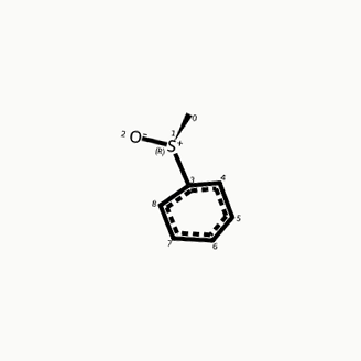 C[S@+]([O-])c1c[c]ccc1